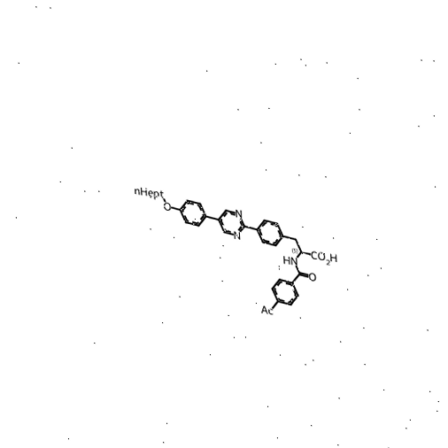 CCCCCCCOc1ccc(-c2cnc(-c3ccc(C[C@H](NC(=O)c4ccc(C(C)=O)cc4)C(=O)O)cc3)nc2)cc1